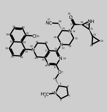 CN1CCC[C@H]1COc1nc2c(c(N3CCN(C(=O)[C@H]4N[C@H]4C4CC4)[C@@H](CC#N)C3)n1)CCN(c1cccc3cccc(Cl)c13)C2